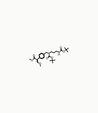 CO/C=C(/C(=O)OC)c1ccc(CN(CCCNC(=O)OC(C)(C)C)C(=O)OC(C)(C)C)cc1